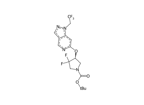 CC(C)(C)OC(=O)N1C[C@H](Oc2cc3c(cn2)cnn3CC(F)(F)F)C(F)(F)C1